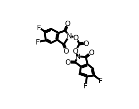 O=C(ON1C(=O)c2cc(F)c(F)cc2C1=O)ON1C(=O)c2cc(F)c(F)cc2C1=O